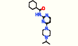 CC(C)N1CCN(c2ccnc(NC(=O)C3CCCCC3)n2)CC1